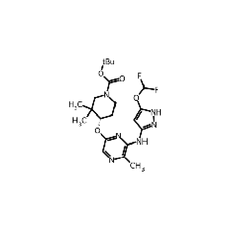 Cc1ncc(O[C@H]2CCN(C(=O)OC(C)(C)C)CC2(C)C)nc1Nc1cc(OC(F)F)[nH]n1